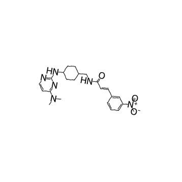 CN(C)c1ccnc(NC2CCC(CNC(=O)/C=C/c3cccc([N+](=O)[O-])c3)CC2)n1